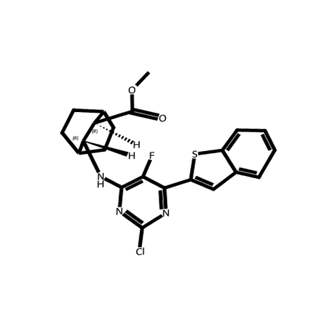 COC(=O)[C@@H]1C2CCC(CC2)[C@H]1Nc1nc(Cl)nc(-c2cc3ccccc3s2)c1F